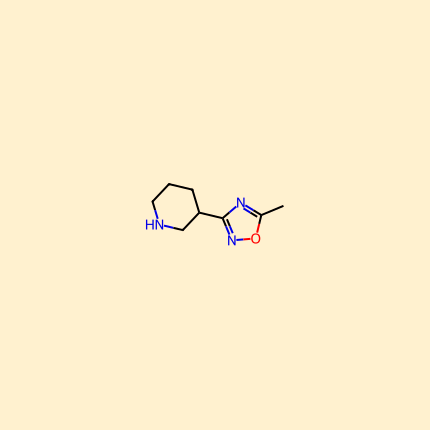 Cc1nc(C2CCCNC2)no1